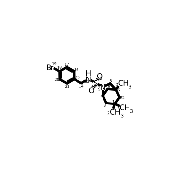 CC1(C)CC2CC(C)(CN2S(=O)(=O)NCc2ccc(Br)cc2)C1